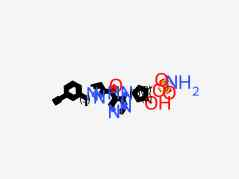 C#Cc1cccc([C@H](C)n2ccc(C(=O)c3cncnc3N[C@@H]3C[C@H](COS(N)(=O)=O)[C@@H](O)C3)n2)c1